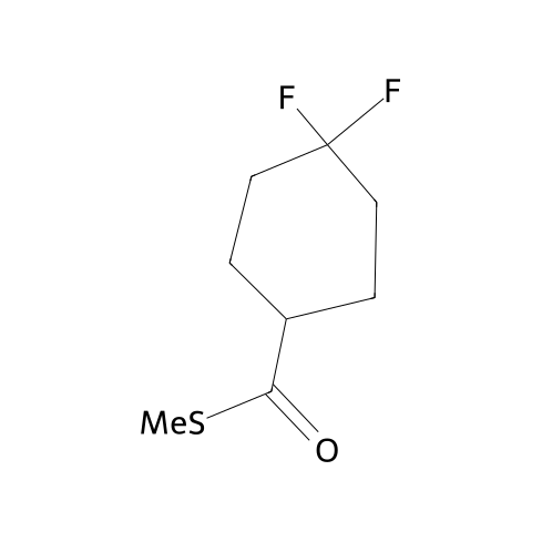 CSC(=O)C1CCC(F)(F)CC1